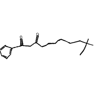 CC(C)(C)CCCCCCC(=O)CC(=O)c1ccccc1